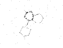 Fc1cc2c(c(N3CCNCC3)c1)OCCO2